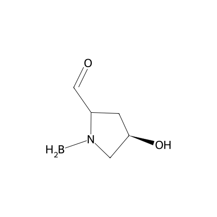 BN1C[C@H](O)CC1C=O